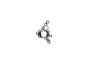 C[C@@H]1[C@@H](C)CCC[C@@](O)(CC(=O)N2CCOCC2)[C@@H]2CC[C@H]2CN2CCCCc3cc(Cl)ccc3COc3ccc(cc32)C(=O)NS1(=O)=O